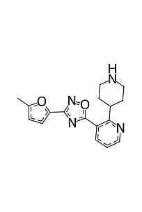 Cc1ccc(-c2noc(-c3cccnc3C3CCNCC3)n2)o1